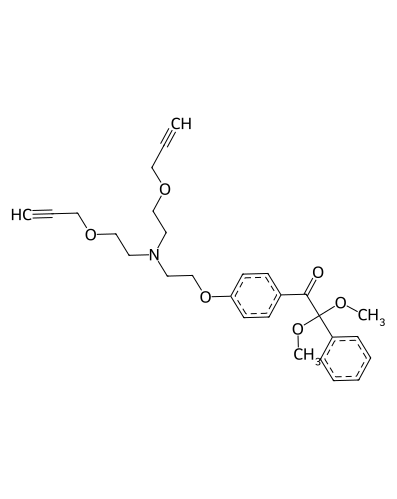 C#CCOCCN(CCOCC#C)CCOc1ccc(C(=O)C(OC)(OC)c2ccccc2)cc1